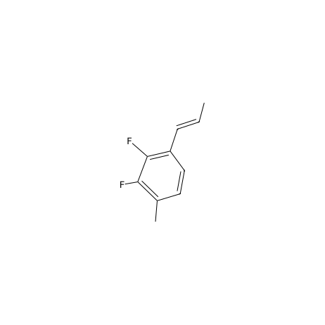 C/C=C/c1ccc(C)c(F)c1F